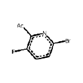 CC(=O)c1nc(Br)ccc1F